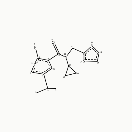 CC(C)c1ccc(F)c(C(=O)N(Cc2nccs2)C2CC2)c1